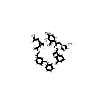 CC1(C)C(C=C(Cl)Cl)C1C(=O)OCc1cccc(Oc2ccccc2)c1.Clc1ccc(C(Cn2ccnc2)OCc2csc3c(Cl)cccc23)c(Cl)c1.[NaH]